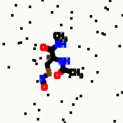 CNC(=O)[C@H](CSN=O)NC(C)=O